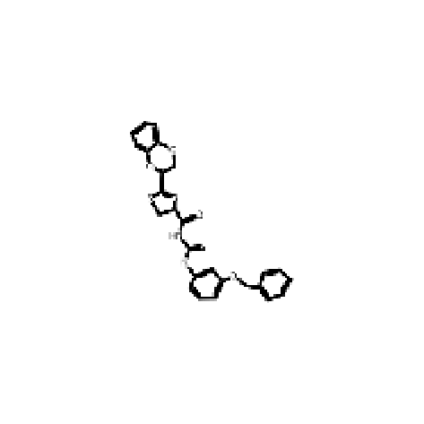 O=C(NC(=S)Nc1cccc(OCc2ccccc2)c1)C1CSC(C2COc3ccccc3O2)=N1